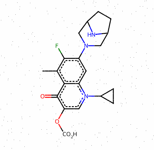 Cc1c(F)c(N2CC3CCC(C2)N3)cc2c1c(=O)c(OC(=O)O)cn2C1CC1